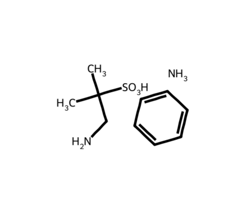 CC(C)(CN)S(=O)(=O)O.N.c1ccccc1